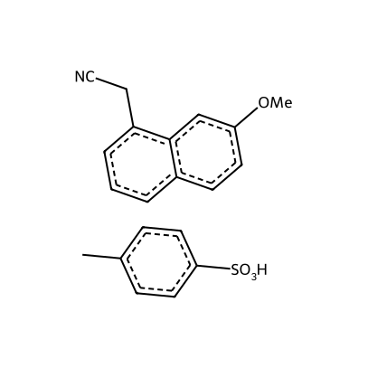 COc1ccc2cccc(CC#N)c2c1.Cc1ccc(S(=O)(=O)O)cc1